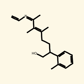 C=C/N=C(C)\C(C)=C(/C)CCC(CO)c1ccccc1C